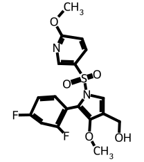 COc1ccc(S(=O)(=O)n2cc(CO)c(OC)c2-c2ccc(F)cc2F)cn1